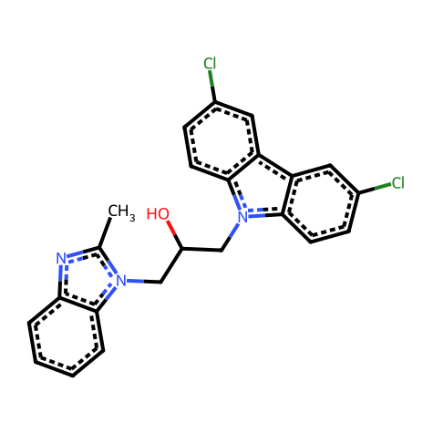 Cc1nc2ccccc2n1CC(O)Cn1c2ccc(Cl)cc2c2cc(Cl)ccc21